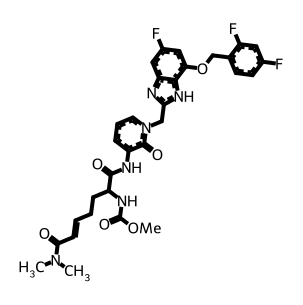 COC(=O)NC(CC/C=C/C(=O)N(C)C)C(=O)Nc1cccn(Cc2nc3cc(F)cc(OCc4ccc(F)cc4F)c3[nH]2)c1=O